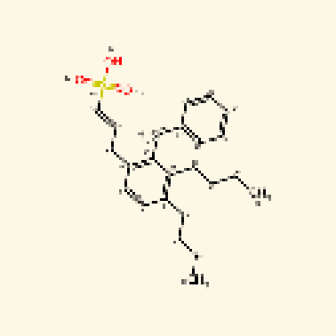 CCCCc1ccc(CC=CS(=O)(=O)O)c([SiH2]c2ccccc2)c1CCCC